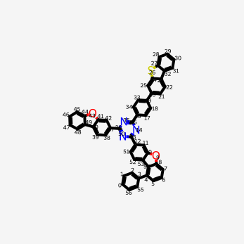 c1ccc(-c2cccc3oc4cc(-c5nc(-c6ccc(-c7ccc8c(c7)sc7ccccc78)cc6)nc(-c6ccc7c(c6)oc6ccccc67)n5)ccc4c23)cc1